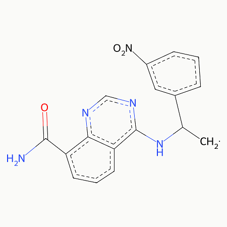 [CH2]C(Nc1ncnc2c(C(N)=O)cccc12)c1cccc([N+](=O)[O-])c1